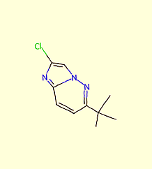 CC(C)(C)c1ccc2nc(Cl)cn2n1